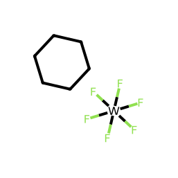 C1CCCCC1.[F][W]([F])([F])([F])([F])[F]